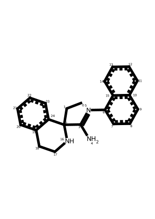 CCC1(C(N)=Nc2cccc3ccccc23)NCCc2ccccc21